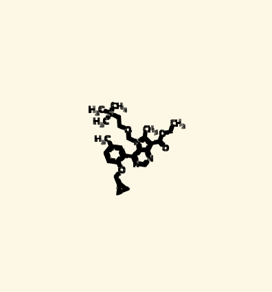 CCOC(=O)c1c(C)n(COCC[Si](C)(C)C)c2c(-c3cc(C)ccc3OCC3CC3)ncnc12